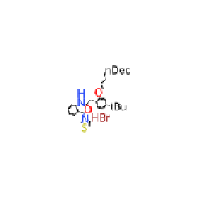 Br.CCCCCCCCCCCCCCOc1cc(C(C)(C)C)ccc1CC(=O)Nc1ccccc1CN1C=CSC1